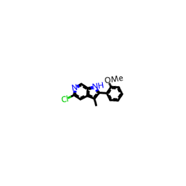 COc1ccccc1-c1[nH]c2cnc(Cl)cc2c1C